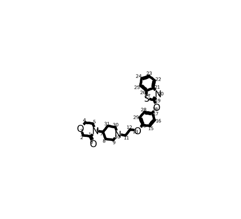 O=C1COCCN1C1CCN(CCOc2ccc(Oc3nc4ccccc4s3)cc2)CC1